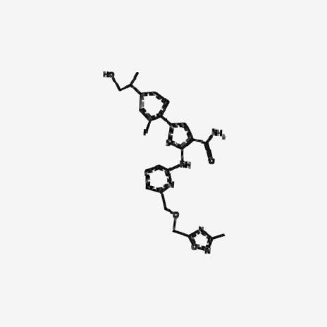 Cc1noc(COCc2cccc(Nc3sc(-c4ccc(C(C)CO)cc4F)cc3C(N)=O)n2)n1